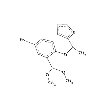 COC(OC)c1cc(Br)ccc1OC(C)c1cccs1